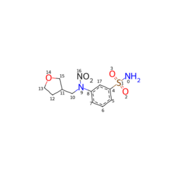 NS(=O)(=O)c1cccc(N(CC2CCOC2)[N+](=O)[O-])c1